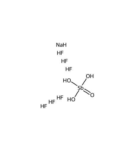 F.F.F.F.F.F.[NaH].[O]=[Sb]([OH])([OH])[OH]